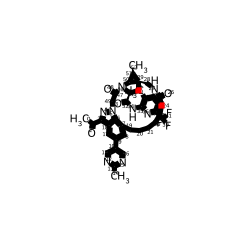 CC(=O)c1nn2c3c(cc(-c4cnc(C)nc4)cc13)CCCCCCC(=O)NC[C@@]13C[C@@H](C(=O)Nc4nc(C(F)(F)F)ccc4C)N(C(=O)C2)C1[C@@H]3C